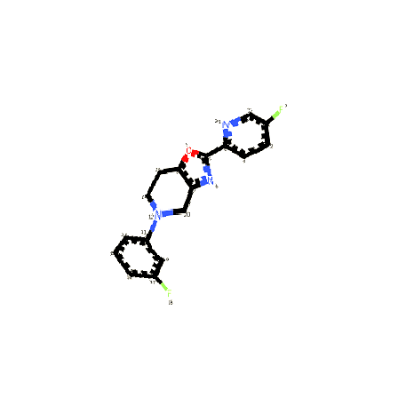 Fc1ccc(-c2nc3c(o2)CCN(c2cccc(F)c2)C3)nc1